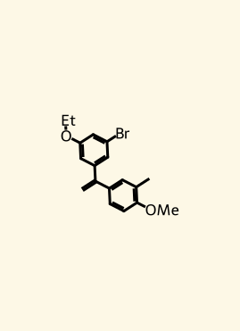 C=C(c1cc(Br)cc(OCC)c1)c1ccc(OC)c(C)c1